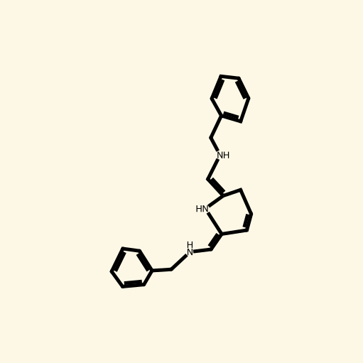 C1=CC(=CNCc2ccccc2)NC(=CNCc2ccccc2)C1